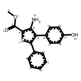 COC(=O)c1sc(-c2ccccc2)c(-c2ccc(O)cc2)c1N